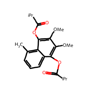 COc1c(OC)c(OC(=O)C(C)C)c2c(C)cccc2c1OC(=O)C(C)C